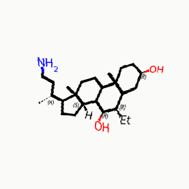 CC[C@@H]1C2C[C@H](O)CCC2(C)C2CCC3(C)C([C@H](C)CCN)CC[C@H]3C2[C@@H]1O